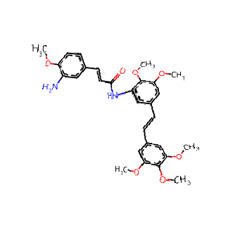 COc1ccc(/C=C/C(=O)Nc2cc(C=Cc3cc(OC)c(OC)c(OC)c3)cc(OC)c2OC)cc1N